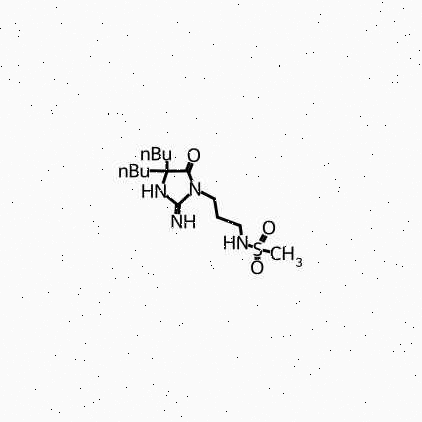 CCCCC1(CCCC)NC(=N)N(CCCNS(C)(=O)=O)C1=O